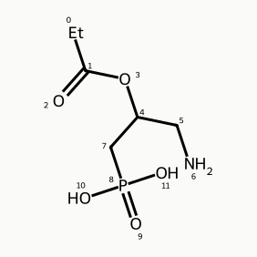 CCC(=O)OC(CN)CP(=O)(O)O